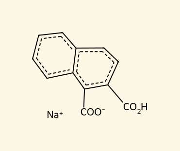 O=C(O)c1ccc2ccccc2c1C(=O)[O-].[Na+]